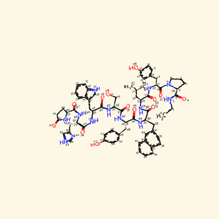 CCNC(=O)[C@@H]1CCCN1C(=O)[C@H](Cc1ccc(O)cc1)NC(=O)[C@H](CC(C)C)NC(=O)[C@@H](Cc1ccc2ccccc2c1)NC(=O)[C@H](Cc1ccc(O)cc1)NC(=O)[C@H](CO)NC(=O)[C@H](Cc1c[nH]c2ccccc12)NC(=O)[C@H](Cc1c[nH]cn1)NC(=O)[C@@H]1CCC(=O)N1